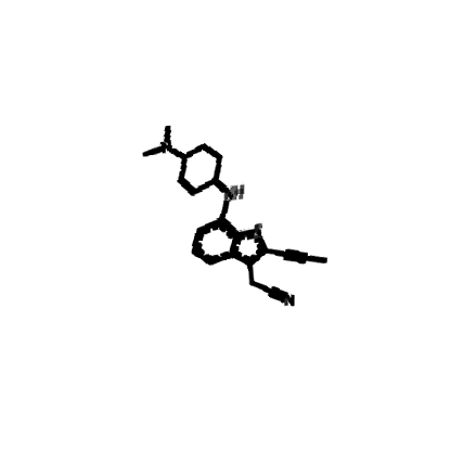 CC#Cc1sc2c(NC3CCC(N(C)C)CC3)cccc2c1CC#N